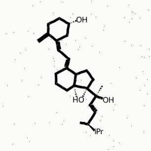 C=C1CC[C@H](O)CC1=CC=C1CCC[C@@]2(C)C1CC[C@@]2(O)[C@@](C)(O)C=C[C@H](C)C(C)C